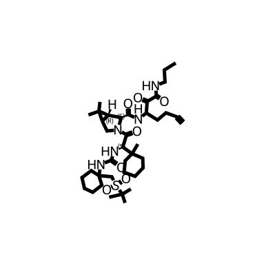 C#CCCC(NC(=O)[C@@H]1[C@@H]2C(CN1C(=O)[C@@H](NC(=O)NC1(CS(=O)(=O)C(C)(C)C)CCCCC1)C1(C)CCCCC1)C2(C)C)C(=O)C(=O)NCCC